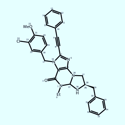 CCN1C(=O)c2c(nc(C#Cc3ccccc3)n2Cc2ccc(OC)c(Cl)c2)N2C[C@@H](Cc3ccccc3)NC12